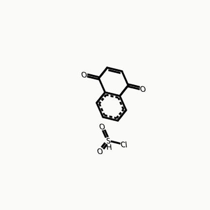 O=C1C=CC(=O)c2ccccc21.O=[SH](=O)Cl